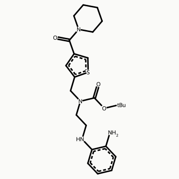 CC(C)(C)OC(=O)N(CCNc1ccccc1N)Cc1cc(C(=O)N2CCCCC2)cs1